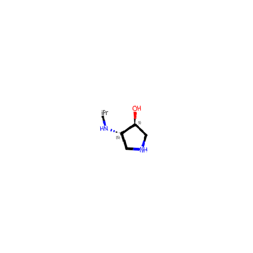 CC(C)N[C@H]1CNC[C@@H]1O